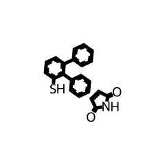 O=C1C=CC(=O)N1.Sc1cccc(-c2ccccc2)c1-c1ccccc1